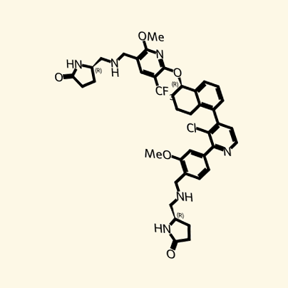 COc1cc(-c2nccc(-c3cccc4c3CCC[C@H]4Oc3nc(OC)c(CNC[C@H]4CCC(=O)N4)cc3C(F)(F)F)c2Cl)ccc1CNC[C@H]1CCC(=O)N1